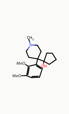 COc1cccc(C2(C3(O)CCCC3)CCN(C)CC2)c1OC